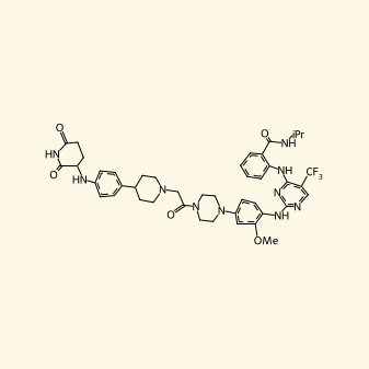 COc1cc(N2CCN(C(=O)CN3CCC(c4ccc(NC5CCC(=O)NC5=O)cc4)CC3)CC2)ccc1Nc1ncc(C(F)(F)F)c(Nc2ccccc2C(=O)NC(C)C)n1